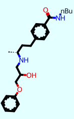 CCCCNC(=O)c1ccc(CC[C@@H](C)NCC(O)COc2ccccc2)cc1